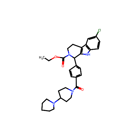 CCOC(=O)N1CCc2c([nH]c3ccc(Cl)cc23)C1c1ccc(C(=O)N2CCC(N3CCCCC3)CC2)cc1